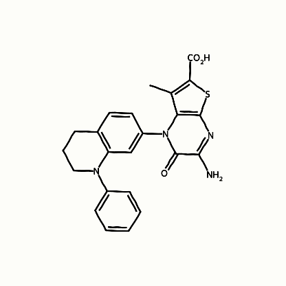 Cc1c(C(=O)O)sc2nc(N)c(=O)n(-c3ccc4c(c3)N(c3ccccc3)CCC4)c12